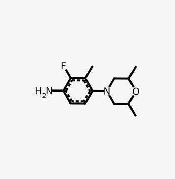 Cc1c(N2CC(C)OC(C)C2)ccc(N)c1F